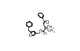 CC1(C)C(C=C(Cl)c2ccccc2)C1C(=O)OCc1coc(Cc2ccccc2)c1